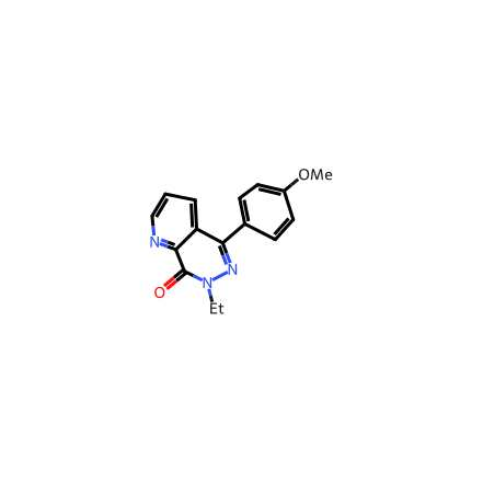 CCn1nc(-c2ccc(OC)cc2)c2cccnc2c1=O